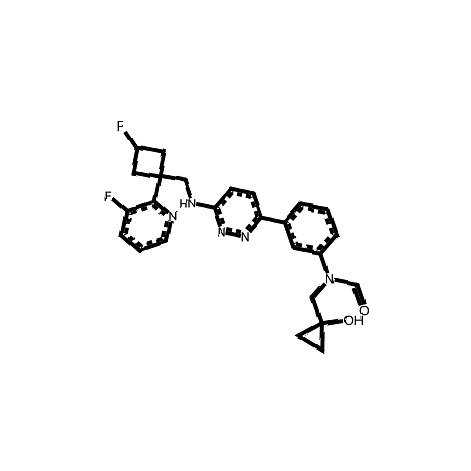 O=CN(CC1(O)CC1)c1cccc(-c2ccc(NCC3(c4ncccc4F)CC(F)C3)nn2)c1